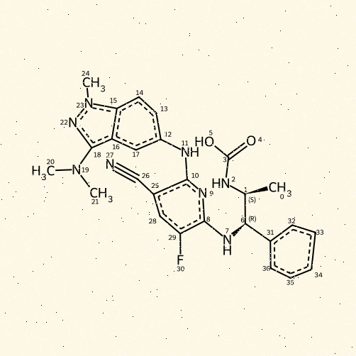 C[C@H](NC(=O)O)[C@H](Nc1nc(Nc2ccc3c(c2)c(N(C)C)nn3C)c(C#N)cc1F)c1ccccc1